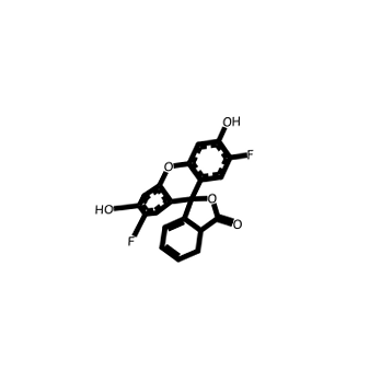 O=C1OC2(C3=CC=CCC13)c1cc(F)c(O)cc1Oc1cc(O)c(F)cc12